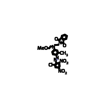 COCCN(CCN1C(=O)c2ccccc2C1=O)c1ccc(/N=N/c2c(Cl)cc([N+](=O)[O-])cc2[N+](=O)[O-])c(C)c1